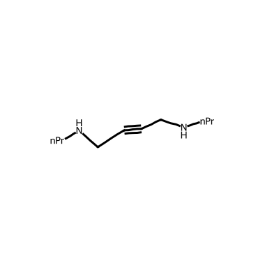 CCCNCC#CCNCCC